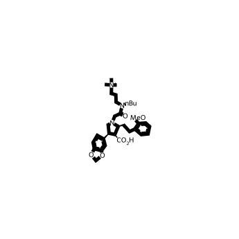 CCCCN(CCC[N+](C)(C)C)C(=O)CN1C[C@H](c2ccc3c(c2)OCO3)[C@@H](C(=O)O)[C@@H]1CCc1ccccc1OC